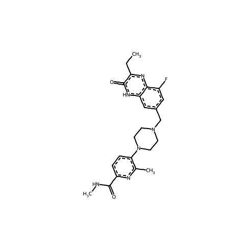 CCc1nc2c(F)cc(CN3CCN(c4ccc(C(=O)NC)nc4C)CC3)cc2[nH]c1=O